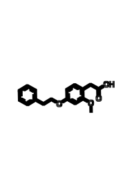 COc1cc(OCCc2ccccc2)ccc1CC(=O)O